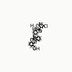 Cc1ncc(Cl)cc1C(=O)N[C@H]1CC[C@H](Cn2c(=O)n(Cc3ccccc3CO)c3ccccc32)CC1